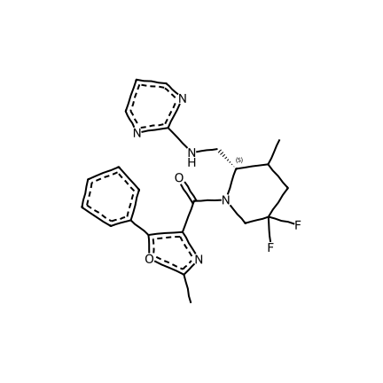 Cc1nc(C(=O)N2CC(F)(F)CC(C)[C@H]2CNc2ncccn2)c(-c2ccccc2)o1